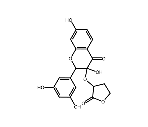 O=C1OCCC1OC1(O)C(=O)c2ccc(O)cc2OC1c1cc(O)cc(O)c1